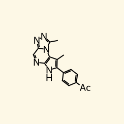 CC(=O)c1ccc(-c2[nH]c3ncc4nnc(C)n4c3c2C)cc1